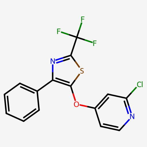 FC(F)(F)c1nc(-c2ccccc2)c(Oc2ccnc(Cl)c2)s1